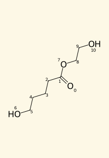 O=C(CCCCO)OCCO